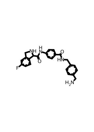 NCc1ccc(CNC(=O)c2ccc(NC(=O)C3NCc4cc(F)ccc43)cc2)cc1